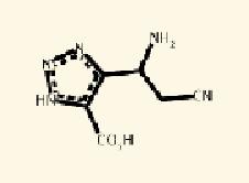 N#CCC(N)c1nn[nH]c1C(=O)O